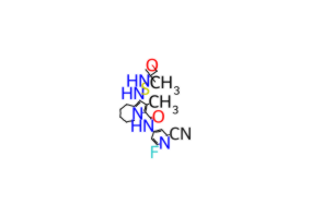 Cc1c(NSNC2(C)COC2)c2n(c1C(=O)Nc1cc(F)nc(C#N)c1)CCCCC2